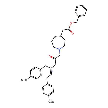 COc1ccc(C/C=C(/CC(=O)CN2CCC=C(CC(=O)OCc3ccccc3)CC2)Cc2ccc(OC)cc2)cc1